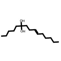 CCCCCC=CCCC(O)(O)CCCCC